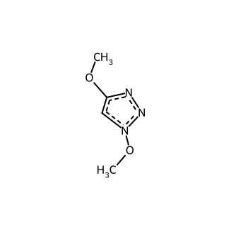 COc1cn(OC)nn1